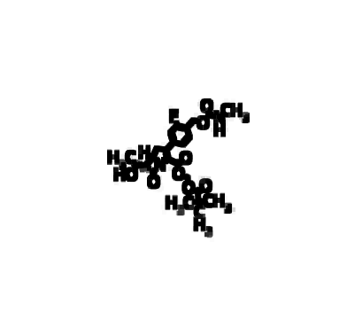 CNC(=O)OCc1ccc(C2=C(C(=O)OCOC(=O)C(C)(C)C)N3C(=O)[C@H]([C@@H](C)O)[C@H]3C2)cc1F